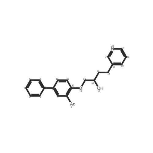 CC(=O)c1cc(-c2ccccc2)ccc1OCC(O)CCc1cccnc1